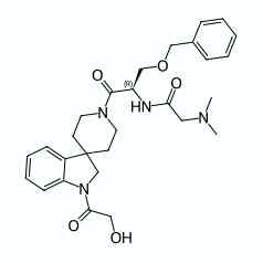 CN(C)CC(=O)N[C@H](COCc1ccccc1)C(=O)N1CCC2(CC1)CN(C(=O)CO)c1ccccc12